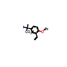 C=Cc1cc(C(C)(I)C(=O)O)ccc1OC(C)C